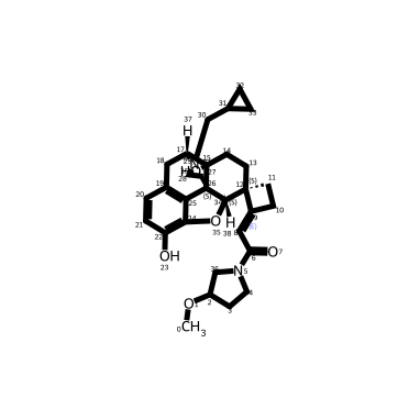 COC1CCN(C(=O)/C=C2\CC[C@]23CC[C@@]2(O)[C@H]4Cc5ccc(O)c6c5[C@@]2(CCN4CC2CC2)[C@H]3O6)C1